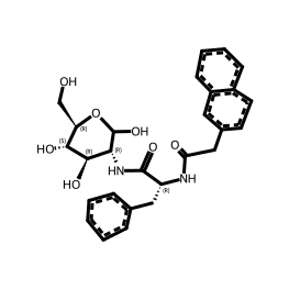 O=C(Cc1ccc2ccccc2c1)N[C@H](Cc1ccccc1)C(=O)N[C@H]1C(O)O[C@H](CO)[C@@H](O)[C@@H]1O